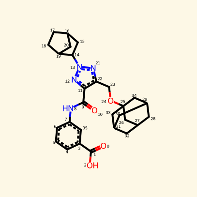 O=C(O)c1cccc(NC(=O)c2nn(C3CC4CCC3C4)nc2COC23CC4CC(CC(C4)C2)C3)c1